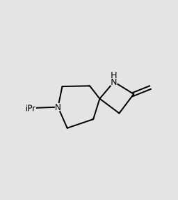 C=C1CC2(CCN(C(C)C)CC2)N1